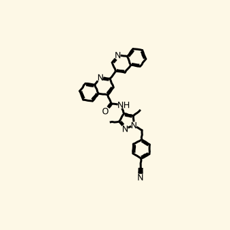 Cc1nn(Cc2ccc(C#N)cc2)c(C)c1NC(=O)c1cc(-c2cnc3ccccc3c2)nc2ccccc12